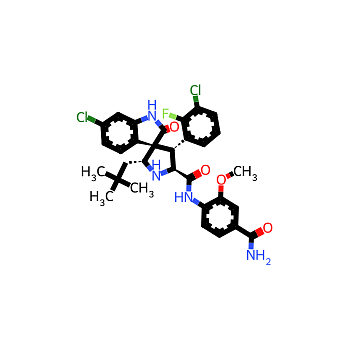 COc1cc(C(N)=O)ccc1NC(=O)[C@H]1N[C@H](CC(C)(C)C)[C@]2(C(=O)Nc3cc(Cl)ccc32)[C@@H]1c1cccc(Cl)c1F